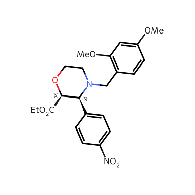 CCOC(=O)[C@H]1OCCN(Cc2ccc(OC)cc2OC)[C@H]1c1ccc([N+](=O)[O-])cc1